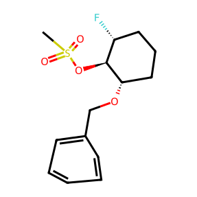 CS(=O)(=O)O[C@H]1[C@H](F)CCC[C@@H]1OCc1ccccc1